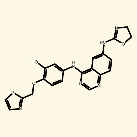 Oc1cc(Nc2ncnc3ccc(NC4=NCCO4)cc23)ccc1OCc1nccs1